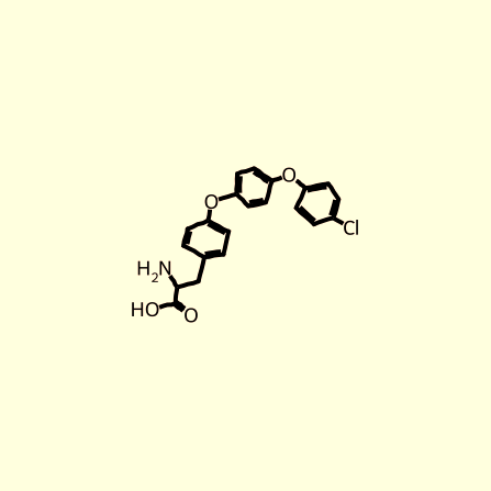 NC(Cc1ccc(Oc2ccc(Oc3ccc(Cl)cc3)cc2)cc1)C(=O)O